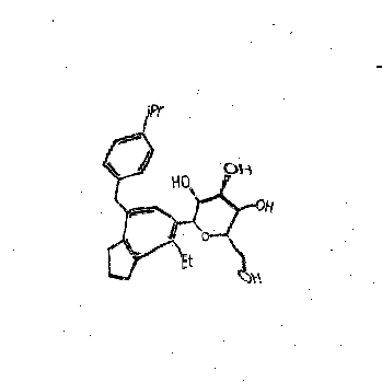 CCc1c([C@@H]2O[C@H](CO)C(O)[C@H](O)C2O)cc(Cc2ccc(C(C)C)cc2)c2c1CCC2